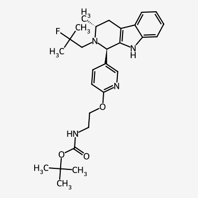 C[C@@H]1Cc2c([nH]c3ccccc23)[C@@H](c2ccc(OCCNC(=O)OC(C)(C)C)nc2)N1CC(C)(C)F